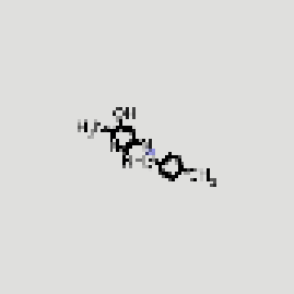 Cc1ccc(/N=N/c2cc(O)c(N)nc2N)cc1